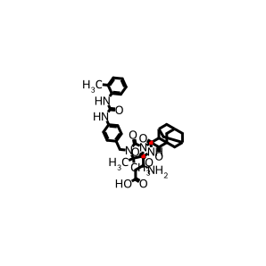 Cc1ccccc1NC(=O)Nc1ccc(CN2C(=O)N(CC(=O)C34CC5CC(CC(C5)C3C(=O)NC(=O)[C@@H](N)CC(=O)O)C4)C(=O)C2(C)C)cc1